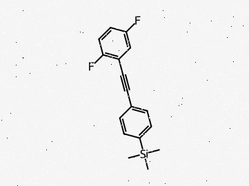 C[Si](C)(C)c1ccc(C#Cc2cc(F)ccc2F)cc1